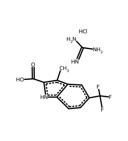 Cc1c(C(=O)O)[nH]c2ccc(C(F)(F)F)cc12.Cl.N=C(N)N